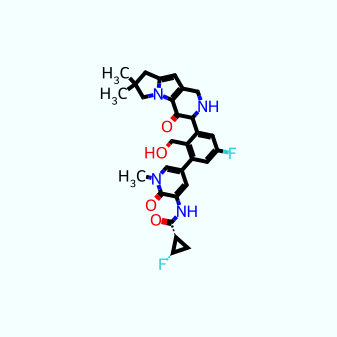 Cn1cc(-c2cc(F)cc(C3NCc4cc5n(c4C3=O)CC(C)(C)C5)c2CO)cc(NC(=O)[C@@H]2C[C@@H]2F)c1=O